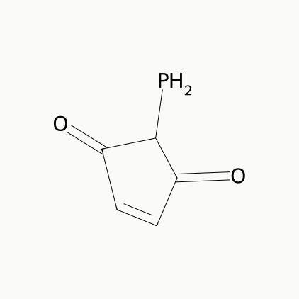 O=C1C=CC(=O)C1P